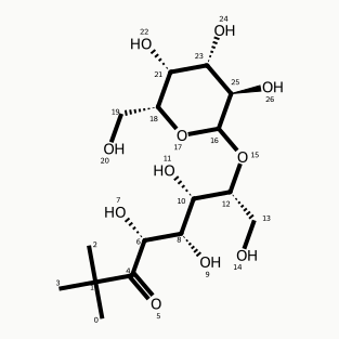 CC(C)(C)C(=O)[C@H](O)[C@@H](O)[C@H](O)[C@@H](CO)OC1O[C@H](CO)[C@H](O)[C@H](O)[C@H]1O